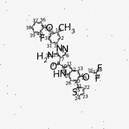 Cc1cc(-n2ncc(C(=O)c3cc4cc(OCC(F)F)c(-c5cccs5)cc4[nH]3)c2N)ccc1Oc1ccccc1F